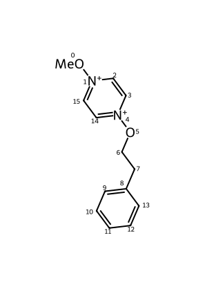 CO[n+]1cc[n+](OCCc2ccccc2)cc1